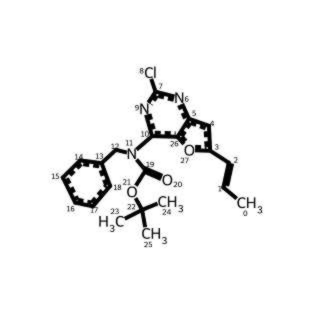 CC=Cc1cc2nc(Cl)nc(N(Cc3ccccc3)C(=O)OC(C)(C)C)c2o1